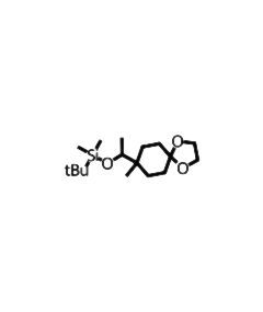 CC(O[Si](C)(C)C(C)(C)C)C1(C)CCC2(CC1)OCCO2